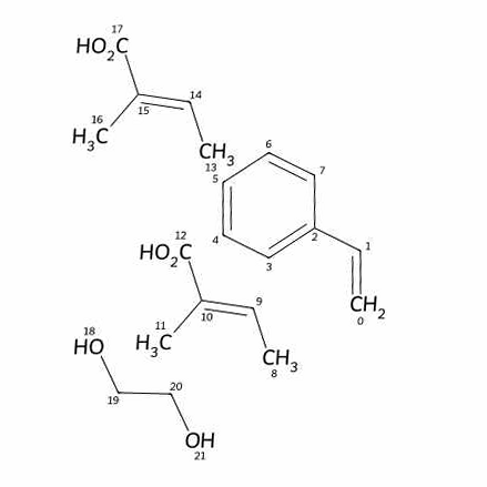 C=Cc1ccccc1.CC=C(C)C(=O)O.CC=C(C)C(=O)O.OCCO